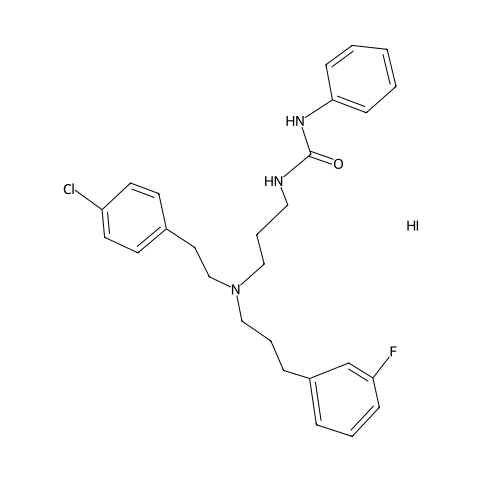 I.O=C(NCCCN(CCCc1cccc(F)c1)CCc1ccc(Cl)cc1)Nc1ccccc1